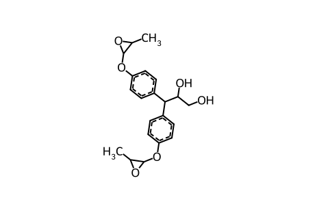 CC1OC1Oc1ccc(C(c2ccc(OC3OC3C)cc2)C(O)CO)cc1